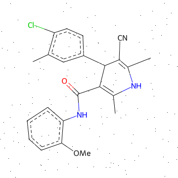 COc1ccccc1NC(=O)C1=C(C)NC(C)=C(C#N)C1c1ccc(Cl)c(C)c1